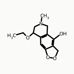 CCOC1CN(C)Cc2c1cc1c(c2O)COO1